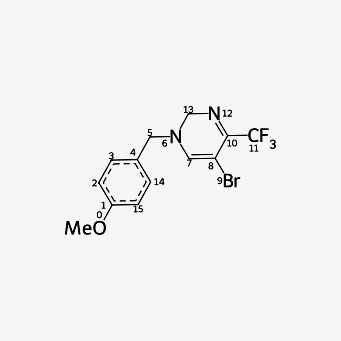 COc1ccc(CN2C=C(Br)C(C(F)(F)F)=NC2)cc1